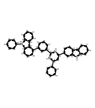 c1ccc(-c2cc(-c3ccc4c(c3)sc3ccccc34)nc(-c3cccc(-c4cccc5c4c4ccccc4n5-c4ccccc4)c3)n2)cc1